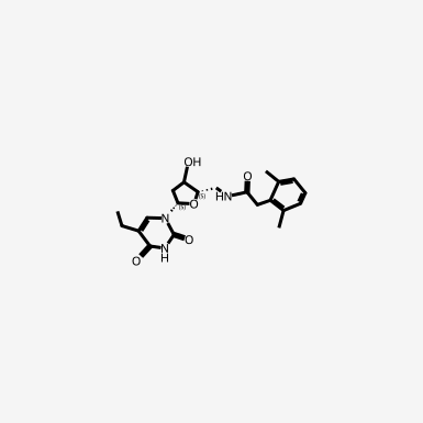 CCc1cn([C@@H]2CC(O)[C@H](CNC(=O)Cc3c(C)cccc3C)O2)c(=O)[nH]c1=O